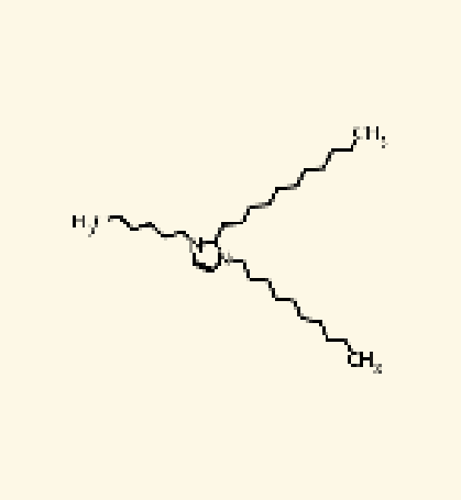 CCCCCCCCCCCC1N(CCCCCC)C=CN1CCCCCCCCCC